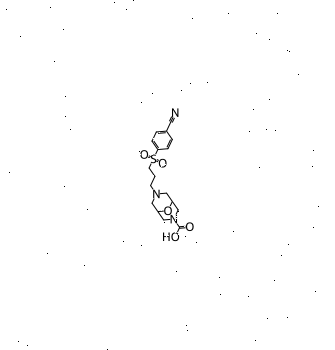 N#Cc1ccc(S(=O)(=O)CCCN2CC3CN(C(=O)O)CC(C2)O3)cc1